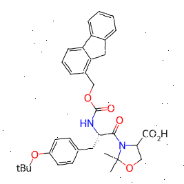 CC(C)(C)Oc1ccc(C[C@H](NC(=O)OCc2cccc3c2Cc2ccccc2-3)C(=O)N2C(C(=O)O)COC2(C)C)cc1